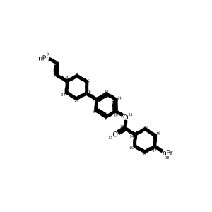 CCCC=CC1CCC(c2ccc(OC(=O)C3CCC(CCC)CC3)cc2)CC1